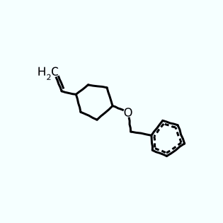 C=CC1CCC(OCc2ccccc2)CC1